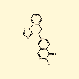 O=c1c2ccc(NCc3ccccc3-n3cncn3)cc2cnn1Cl